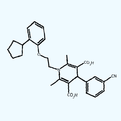 CC1=C(C(=O)O)C(c2cccc(C#N)c2)C(C(=O)O)=C(C)N1CCOc1ccccc1C1CCCC1